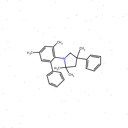 Cc1cc(C)c(N2CC(C)(c3ccccc3)CC2(C)C)c(-c2ccccc2)c1